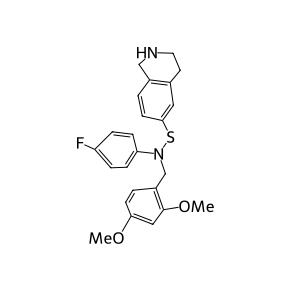 COc1ccc(CN(Sc2ccc3c(c2)CCNC3)c2ccc(F)cc2)c(OC)c1